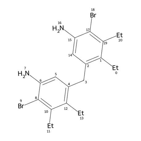 CCc1c(Cc2cc(N)c(Br)c(CC)c2CC)cc(N)c(Br)c1CC